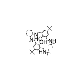 CN(Cc1cc(C(C)(C)C)cc(CNC(C)(C)C)c1O)C1CCCCC1N(C)Cc1cc(C(C)(C)C)cc(CNC(C)(C)C)c1O